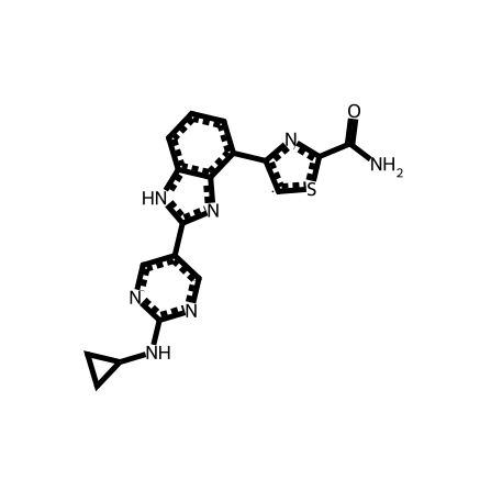 NC(=O)c1nc(-c2cccc3[nH]c(-c4cnc(NC5CC5)nc4)nc23)[c]s1